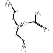 C=C(C)C.NCCNCCN